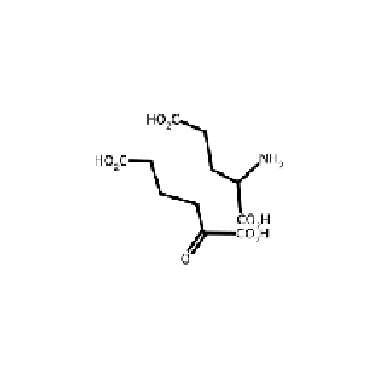 NC(CCC(=O)O)C(=O)O.O=C(O)CCCC(=O)C(=O)O